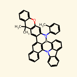 Cc1ccccc1N1B2c3c(cc4ccccc4c3-n3c4ccccc4c4cccc2c43)-c2cc3c(cc21)Oc1ccccc1C3(C)C